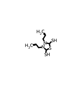 C=CCN1C(S)SC(S)N1CC=C